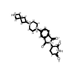 O=C1CCC(N2C(=O)c3ccc(N4CCN(C5CC6(CNC6)C5)CC4)cc3C2=O)C(=O)N1